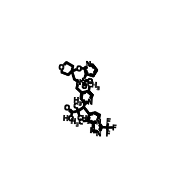 Cc1cnc(C(c2ccn3c(C(F)(F)F)nnc3c2C)C(C)(C)C(=O)O)cc1CN1CC2(CCOCC2)Oc2ncccc2S1(=O)=O